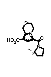 C[C@H]1CCCN1C(=O)c1cc(C(=O)O)c2n1CCSC2